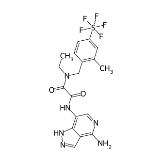 CCN(Cc1ccc(S(F)(F)(F)(F)F)cc1C)C(=O)C(=O)Nc1cnc(N)c2cn[nH]c12